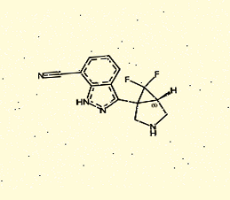 N#Cc1cccc2c(C34CNC[C@H]3C4(F)F)n[nH]c12